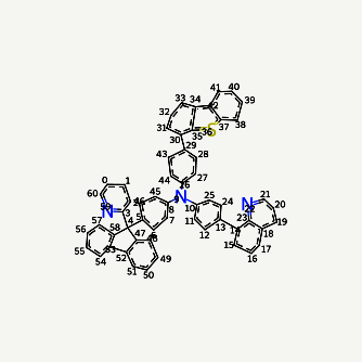 c1ccc(C2(c3ccc(N(c4ccc(-c5cccc6cccnc56)cc4)c4ccc(-c5cccc6c5sc5ccccc56)cc4)cc3)c3ccccc3-c3ccccc32)nc1